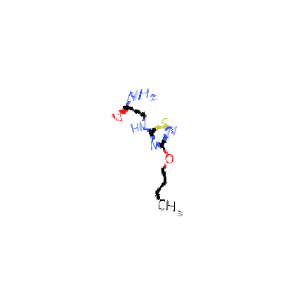 CCCCOc1nsc(NCC(N)=O)n1